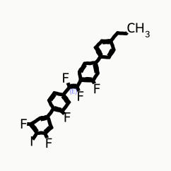 CCCc1ccc(-c2ccc(/C(F)=C(\F)c3ccc(-c4cc(F)c(I)c(F)c4)c(F)c3)c(F)c2)cc1